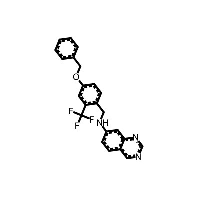 FC(F)(F)c1cc(OCc2ccccc2)ccc1CNc1ccc2cncnc2c1